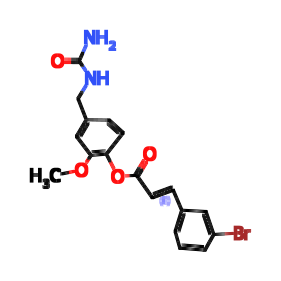 COc1cc(CNC(N)=O)ccc1OC(=O)/C=C/c1cccc(Br)c1